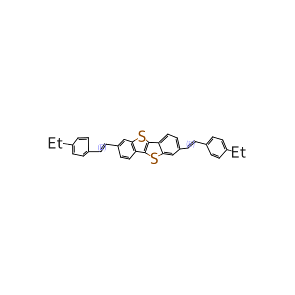 CCc1ccc(/C=C/c2ccc3c(c2)sc2c4ccc(/C=C/c5ccc(CC)cc5)cc4sc32)cc1